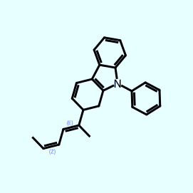 C/C=C\C=C(/C)C1C=Cc2c(n(-c3ccccc3)c3ccccc23)C1